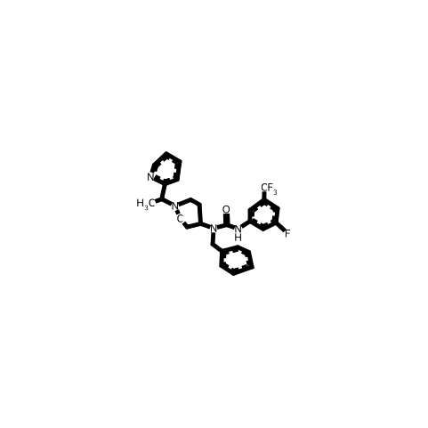 CC(c1ccccn1)N1CCC(N(Cc2ccccc2)C(=O)Nc2cc(F)cc(C(F)(F)F)c2)CC1